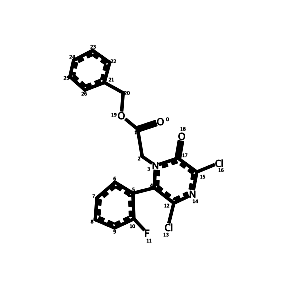 O=C(Cn1c(-c2ccccc2F)c(Cl)nc(Cl)c1=O)OCc1ccccc1